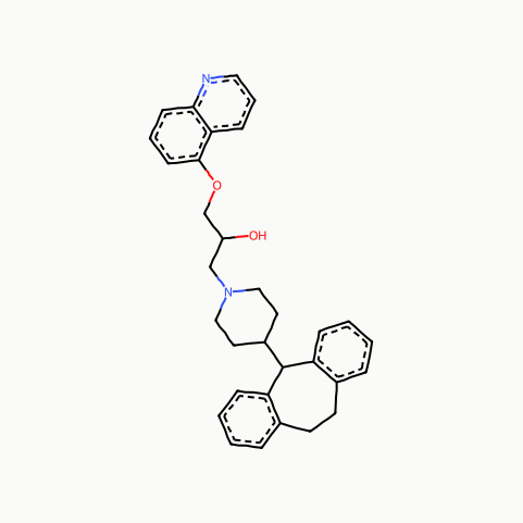 OC(COc1cccc2ncccc12)CN1CCC(C2c3ccccc3CCc3ccccc32)CC1